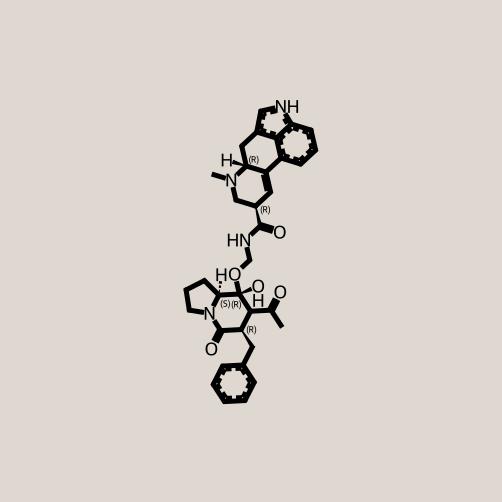 CC(=O)C1[C@@H](Cc2ccccc2)C(=O)N2CCC[C@H]2[C@]1(O)OCNC(=O)[C@@H]1C=C2c3cccc4[nH]cc(c34)C[C@H]2N(C)C1